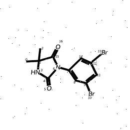 CC1(C)NC(=O)N(c2cc(Br)cc(Br)c2)C1=O